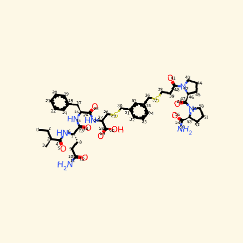 CC[C@H](C)C(=O)N[C@@H](CCC(N)=O)C(=O)N[C@@H](Cc1ccccc1)C(=O)NC(CSCc1cccc(CSCCC(=O)N2CCC[C@H]2C(=O)N2CCC[C@H]2C(N)=O)c1)C(=O)O